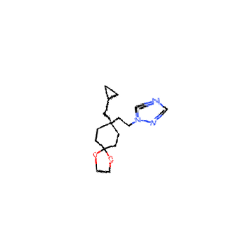 c1ncn(CCC2(CC3CC3)CCC3(CC2)OCCO3)n1